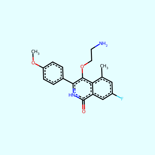 COc1ccc(-c2[nH]c(=O)c3cc(F)cc(C)c3c2OCCN)cc1